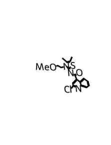 COCCn1c(C)c(C)s/c1=N\C(=O)c1cc(Cl)nc2ccccc12